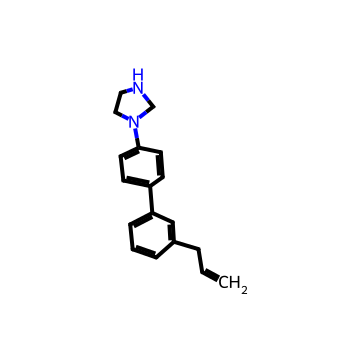 C=CCc1cccc(-c2ccc(N3CCNC3)cc2)c1